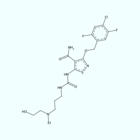 CCN(CCO)CCCNC(=O)Nc1snc(OCc2cc(F)c(Cl)cc2F)c1C(N)=O